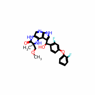 COC[C@]1(C)Nc2c(cnc3[nH]cc(C(O)c4ccc(Oc5ccccc5F)cc4F)c23)NC1=O